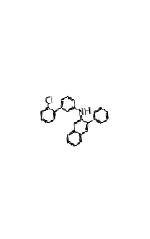 Clc1ccccc1-c1cccc(Nc2cc3ccccc3cc2-c2ccccc2)c1